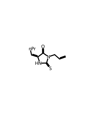 C=CCN1C(=O)/C(=C\CCC)NC1=S